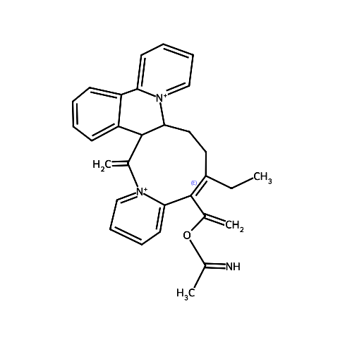 C=C(OC(C)=N)/C1=C(\CC)CCC2C(C(=C)[n+]3ccccc31)c1ccccc1-c1cccc[n+]12